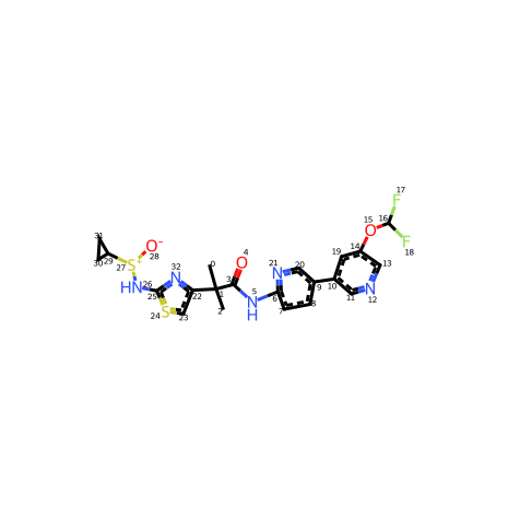 CC(C)(C(=O)Nc1ccc(-c2cncc(OC(F)F)c2)cn1)c1csc(N[S+]([O-])C2CC2)n1